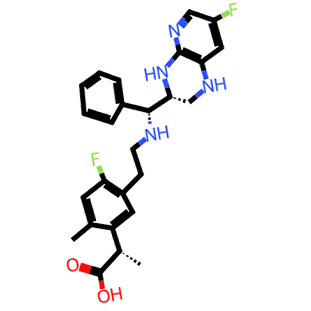 Cc1cc(F)c(CCN[C@H](c2ccccc2)[C@H]2CNc3cc(F)cnc3N2)cc1[C@H](C)C(=O)O